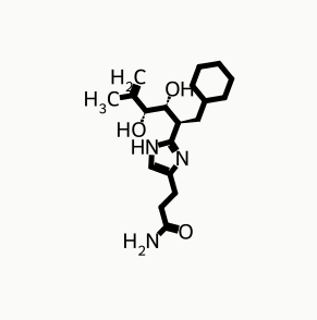 C=C(C)[C@@H](O)[C@H](O)[C@@H](CC1CCCCC1)c1nc(CCC(N)=O)c[nH]1